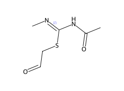 C/N=C(/NC(C)=O)SCC=O